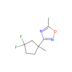 Cc1nc(C2(C)CCC(F)(F)C2)no1